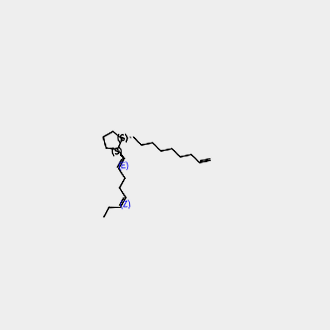 C=CCCCCCCC[C@H]1CCC[C@@H]1/C=C/CC/C=C\CC